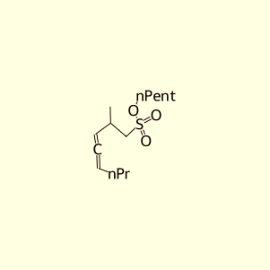 CCCC=C=CC(C)CS(=O)(=O)OCCCCC